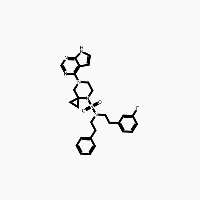 O=S(=O)(N(CCc1ccccc1)CCc1cccc(F)c1)N1CCN(c2ncnc3[nH]ccc23)CC12CC2